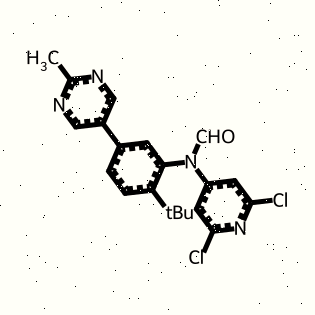 Cc1ncc(-c2ccc(C(C)(C)C)c(N(C=O)c3cc(Cl)nc(Cl)c3)c2)cn1